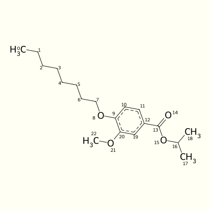 CCCCCCCCOc1ccc(C(=O)OC(C)C)cc1OC